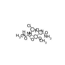 CNC(=O)c1nn(-c2cc(Cl)cc(Cl)c2)c2c1COc1cc(OC)c(-c3cc(C(N)=O)ncc3F)cc1-2